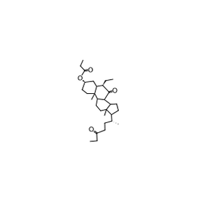 CCC(=O)CC[C@@H](C)C1CCC2C3C(=O)[C@H](CC)C4C[C@H](OC(=O)CC)CCC4(C)C3CCC21C